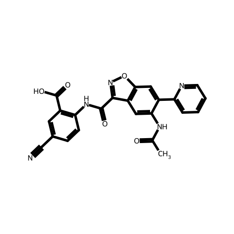 CC(=O)Nc1cc2c(C(=O)Nc3ccc(C#N)cc3C(=O)O)noc2cc1-c1ccccn1